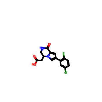 O=C(O)CC1CNC(=O)c2cc(-c3cc(Cl)ccc3F)cn21